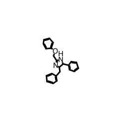 c1ccc(CC2N=C(COc3ccccc3)NC2c2ccccc2)cc1